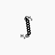 COC1=CCC2=C(C1)CC1=C(C2)CC2=C(C1)CC1=C(CC3=C(CC(OC)=CC3)C1)C2